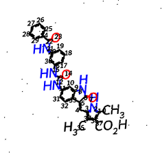 Cc1[nH]c(C=C2C(=O)Nc3cc(NC(=O)Nc4cccc(NC(=O)c5ccccc5)c4)ccc32)c(C)c1C(=O)O